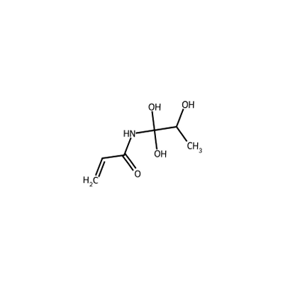 C=CC(=O)NC(O)(O)C(C)O